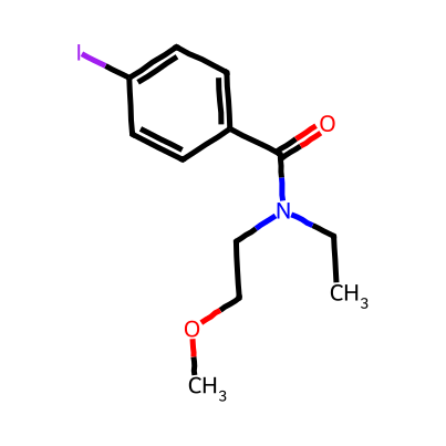 CCN(CCOC)C(=O)c1ccc(I)cc1